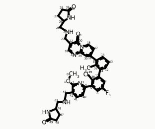 COc1nc(-c2cc(F)cc(-c3cccc(-c4ccn5c(=O)c(CNCC6CCC(=O)N6)cnc5c4)c3C)c2Cl)ccc1CNCC1CCC(=O)N1